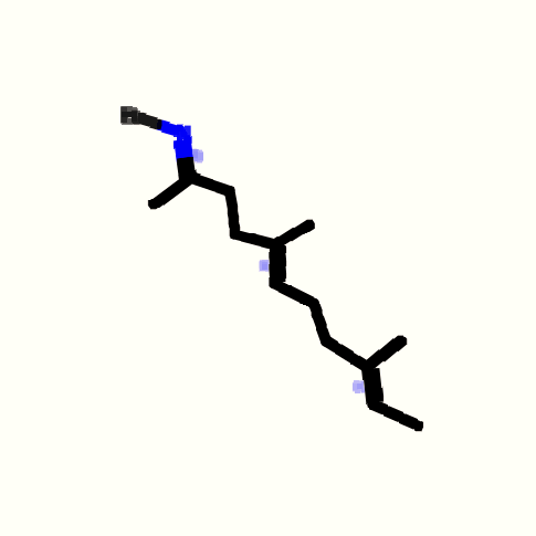 C/C=C(\C)CC/C=C(\C)CC/C(C)=N/CC